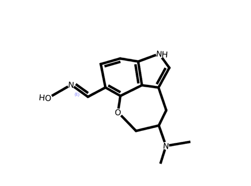 CN(C)C1COc2c(/C=N/O)ccc3[nH]cc(c23)C1